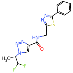 C[C@@H](C(F)F)n1cc(C(=O)NCc2nnc(-c3ccccc3)s2)nn1